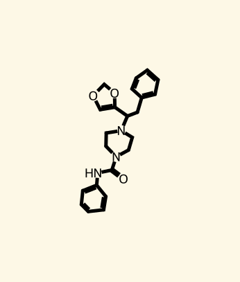 O=C(Nc1ccccc1)N1CCN(C(Cc2ccccc2)C2=COCO2)CC1